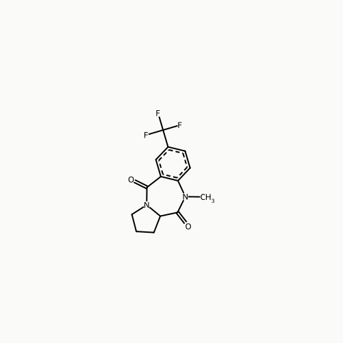 CN1C(=O)C2CCCN2C(=O)c2cc(C(F)(F)F)ccc21